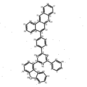 c1ccc(-c2nc(-c3ccc(-c4cc5nc6ccccc6cc5c5ccccc45)cc3)nc(-c3cccc4oc5ccccc5c34)n2)cc1